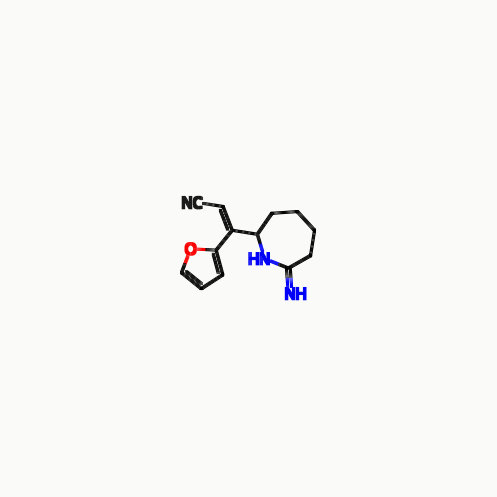 N#C/C=C(\c1ccco1)C1CCCCC(=N)N1